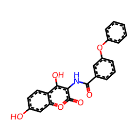 O=C(Nc1c(O)c2ccc(O)cc2oc1=O)c1cccc(Oc2ccccc2)c1